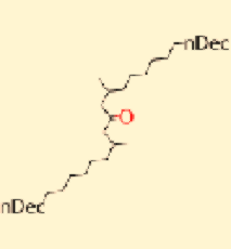 CCCCCCCCCCCCCCCCC(C)CC(=O)CC(C)CCCCCCCCCCCCCCCC